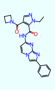 CCn1ncc(C(=O)N2CCC2)c1C(=O)Nc1ccn2cc(-c3ccccc3)nc2n1